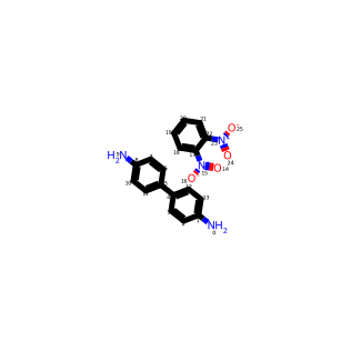 Nc1ccc(-c2ccc(N)cc2)cc1.O=[N+]([O-])c1ccccc1[N+](=O)[O-]